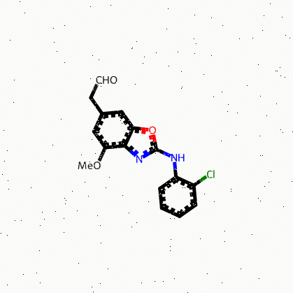 COc1cc(CC=O)cc2oc(Nc3ccccc3Cl)nc12